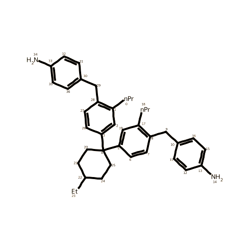 CCCc1cc(C2(c3ccc(Cc4ccc(N)cc4)c(CCC)c3)CCC(CC)CC2)ccc1Cc1ccc(N)cc1